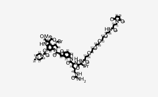 COC(=O)c1c(C)[nH]c2c(OC(=O)N3CCN(C)CC3)cc3c(c12)[C@H](CBr)CN3C(=O)c1cc2cc(NC(=O)C(CCCNC(N)=O)NC(=O)C(NC(=O)CCOCCOCCOCCOCCNC(=O)CCN3C(=O)C=CC3=O)C(C)C)ccc2o1